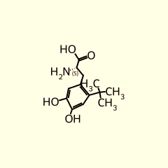 CC(C)(C)c1cc(O)c(O)cc1C[C@H](N)C(=O)O